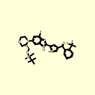 CC(C)(C)[Si](C)(C)OC[C@H]1COCCN1c1cc(F)c2nc(-c3cc(C(=O)c4ccccc4C(F)(F)F)c[nH]3)[nH]c2c1